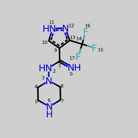 N=C(NN1CCNCC1)c1c[nH]nc1C(F)(F)F